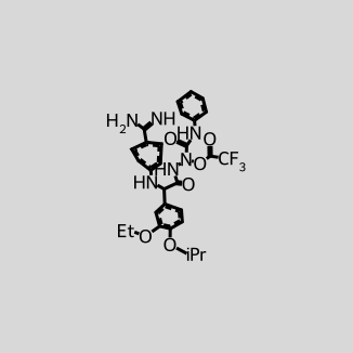 CCOc1cc(C(Nc2ccc(C(=N)N)cc2)C(=O)NN(OC(=O)C(F)(F)F)C(=O)Nc2ccccc2)ccc1OC(C)C